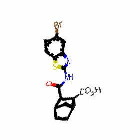 O=C(O)C1C2C=CC(C2)C1C(=O)Nc1nc2cc(Br)ccc2s1